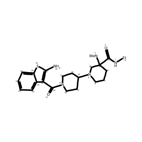 CCNC(=O)C1(NC)CCCN(C2CCN(C(=O)c3c(N)sc4ccccc34)CC2)C1